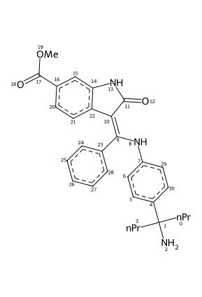 CCCC(N)(CCC)c1ccc(N/C(=C2\C(=O)Nc3cc(C(=O)OC)ccc32)c2ccccc2)cc1